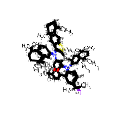 Cc1cc2c3c(c1)N(c1ccc4c(c1)C(C)(C)CCC4(C)C)c1c(sc4cc5c(cc14)C1(C)CCC5(C)C1)B3c1cc3c(cc1N2c1ccc(C(C)(C)I)cc1-c1ccc(C(C)(C)C)cc1)C(C)(C)CCC3(C)C